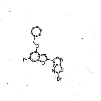 Fc1cc(OCc2ccccc2)c2cc(-c3cnc4sc(Br)nn34)oc2c1